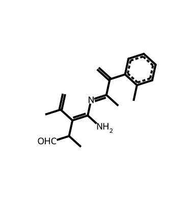 C=C(C)/C(=C(N)\N=C(/C)C(=C)c1ccccc1C)C(C)C=O